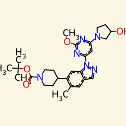 COc1nc(N2CCC(O)C2)cc(-n2ncc3cc(C)c(C4CCN(C(=O)OC(C)(C)C)CC4)cc32)n1